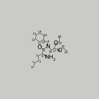 CCCC[C@H](N)C(=O)N(CC1CCCCC1)CC(OCC)OCC